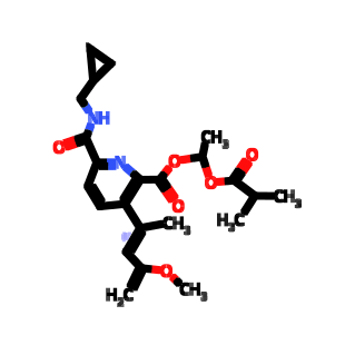 C=C(/C=C(\C)c1ccc(C(=O)NCC2CC2)nc1C(=O)OC(C)OC(=O)C(C)C)OC